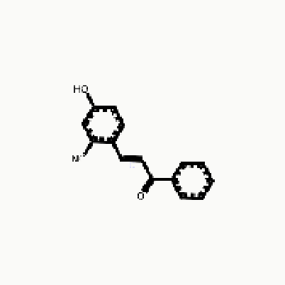 N#Cc1cc(O)ccc1/C=C/C(=O)c1ccccc1